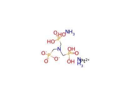 N.N.O=P([O-])([O-])CN(CP(=O)(O)O)CP(=O)(O)O.[Pt+2]